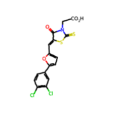 O=C(O)CN1C(=O)/C(=C/c2ccc(-c3ccc(Cl)c(Cl)c3)o2)SC1=S